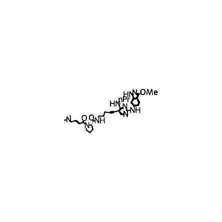 CCCNc1nc(Nc2ccc3c(OC)n[nH]c3c2)ncc1C#CCCCNC(=O)[C@@H]1CCCN1C(=O)/C=C/CN(C)C